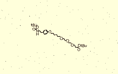 CC(C)(C)OC(=O)CCOCCOCCOCCCCCCOc1ccc(CCNC(=O)OC(C)(C)C)cc1